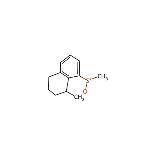 CC1CCCc2cccc([S+](C)[O-])c21